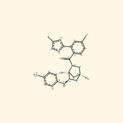 Cc1noc(-c2cc(F)ccc2C(=O)N2C[C@H]3C[C@@H](Nc4ccc(C(F)(F)F)cn4)[C@@H]2C3)n1